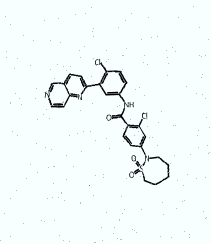 O=C(Nc1ccc(Cl)c(-c2ccc3cnccc3n2)c1)c1ccc(N2CCCCCS2(=O)=O)cc1Cl